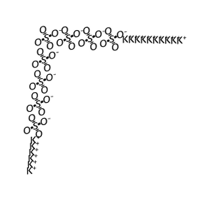 O=S(=O)([O-])[O-].O=S(=O)([O-])[O-].O=S(=O)([O-])[O-].O=S(=O)([O-])[O-].O=S(=O)([O-])[O-].O=S(=O)([O-])[O-].O=S(=O)([O-])[O-].O=S(=O)([O-])[O-].[K+].[K+].[K+].[K+].[K+].[K+].[K+].[K+].[K+].[K+].[K+].[K+].[K+].[K+].[K+].[K+]